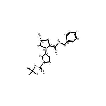 CC(C)(C)OC(=O)N1CCC(N2C[C@@H](F)CC2C(=O)OCc2ccccc2)C1